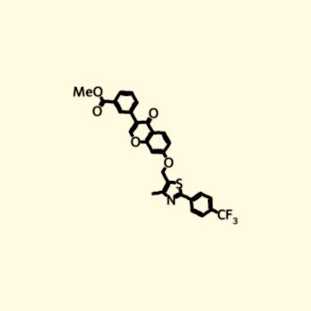 COC(=O)c1cccc(-c2coc3cc(OCc4sc(-c5ccc(C(F)(F)F)cc5)nc4C)ccc3c2=O)c1